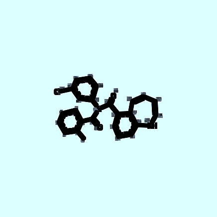 Cc1ccccc1C(=O)N(C(=O)c1cccc2c1C=CC=CN2)c1cccc(Cl)c1